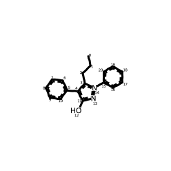 CCCc1c(-c2ccccc2)c(O)nn1-c1ccccc1